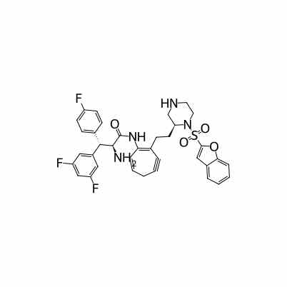 N[C@H](C(=O)NC1=C(CC[C@H]2CNCCN2S(=O)(=O)c2cc3ccccc3o2)C#CCC=C1)[C@@H](c1ccc(F)cc1)c1cc(F)cc(F)c1